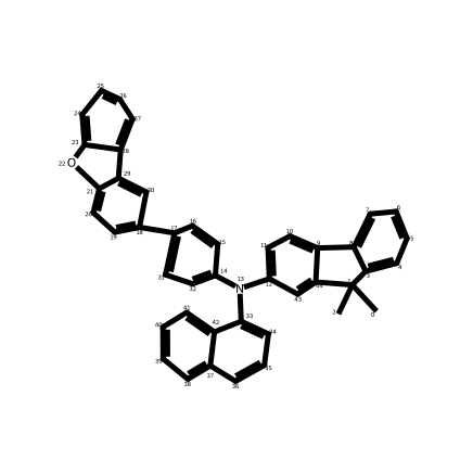 CC1(C)c2ccccc2-c2ccc(N(c3ccc(-c4ccc5oc6ccccc6c5c4)cc3)c3cccc4ccccc34)cc21